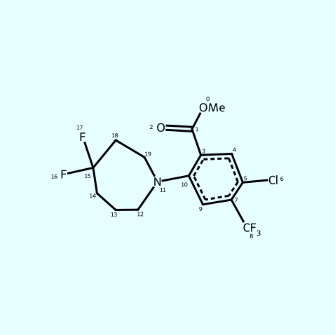 COC(=O)c1cc(Cl)c(C(F)(F)F)cc1N1CCCC(F)(F)CC1